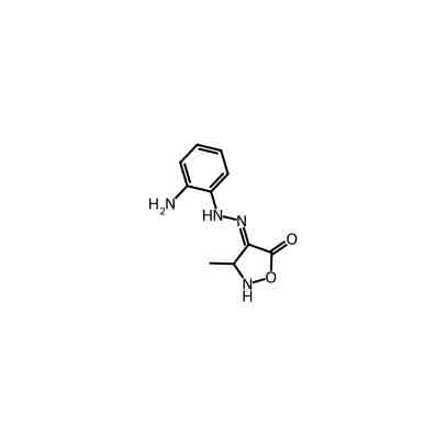 CC1NOC(=O)C1=NNc1ccccc1N